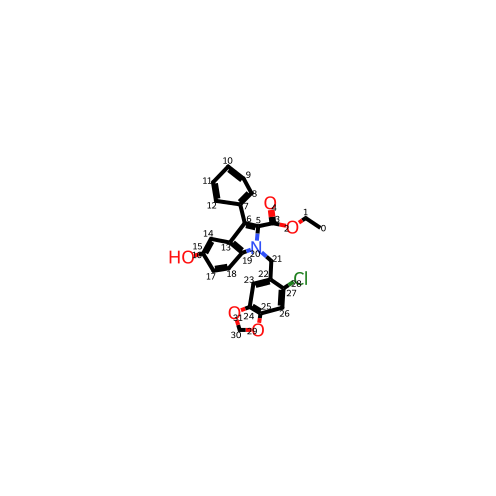 CCOC(=O)c1c(-c2ccccc2)c2cc(O)ccc2n1Cc1cc2c(cc1Cl)OCO2